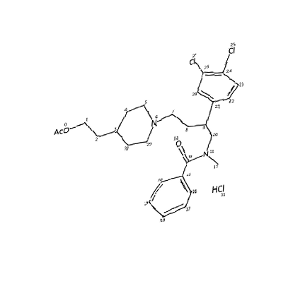 CC(=O)OCCC1CCN(CCC(CN(C)C(=O)c2ccccc2)c2ccc(Cl)c(Cl)c2)CC1.Cl